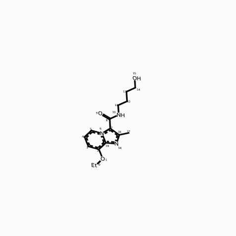 CCOc1cccn2c(C(=O)NCCCCO)c(C)nc12